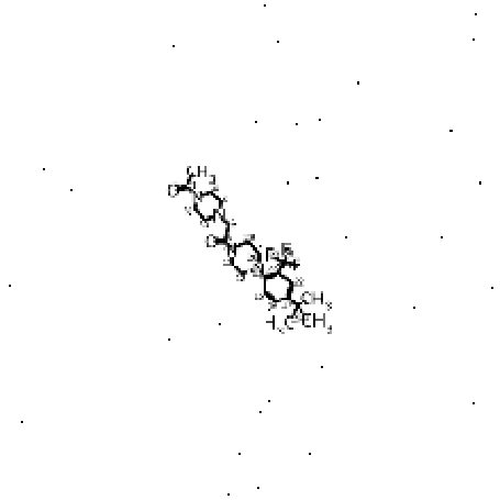 CC(=O)N1CCN(CC(=O)N2CCN(c3ccc(C(C)(C)C)cc3C(F)(F)F)CC2)CC1